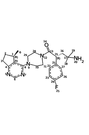 C[C@@H]1CCc2ncnc(N3CCN(C(=O)[C@H](CC(C)(C)N)c4ccc(F)cc4)CC3)c21